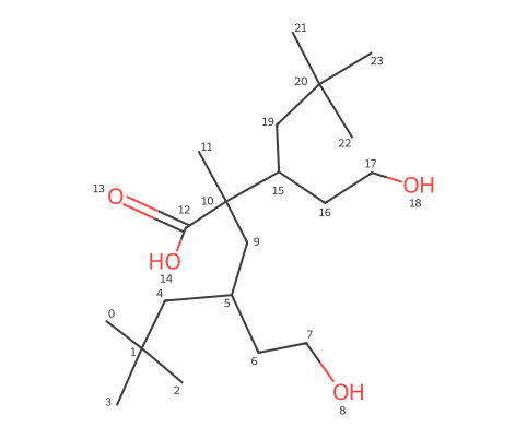 CC(C)(C)CC(CCO)CC(C)(C(=O)O)C(CCO)CC(C)(C)C